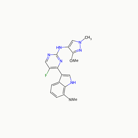 CNc1cccc2c(-c3nc(Nc4cn(C)nc4OC)ncc3F)c[nH]c12